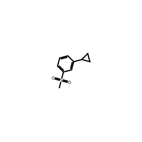 CS(=O)(=O)c1cccc(C2CC2)c1